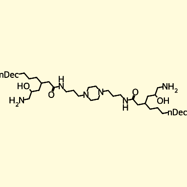 CCCCCCCCCCCCCC(CC(=O)NCCCN1CCN(CCCNC(=O)CC(CCCCCCCCCCCCC)CC(O)CN)CC1)CC(O)CN